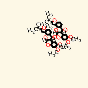 C=C(C)[C@H]1Cc2c(ccc3c2O[C@@H]2COc4cc(OC)c(OC)cc4[C@@H]2C3=O)O1.C=C(C)[C@H]1Cc2c(ccc3c2O[C@@H]2COc4cc(OC)c(OC)cc4[C@@H]2C3=O)O1